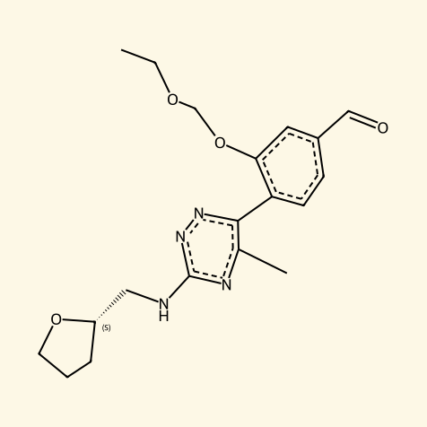 CCOCOc1cc(C=O)ccc1-c1nnc(NC[C@@H]2CCCO2)nc1C